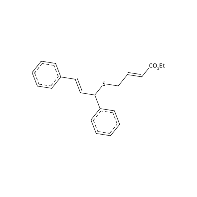 CCOC(=O)/C=C/CSC(/C=C/c1ccccc1)c1ccccc1